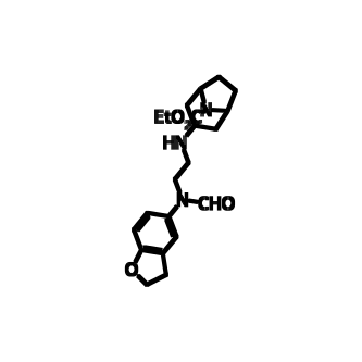 CCOC(=O)N1C2CCC1CC(NCCN(C=O)c1ccc3c(c1)CCO3)C2